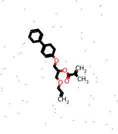 C=CCOCC(COC1=CC=C(C2=CC=CCC2)CC1)OC(=O)C(=C)C